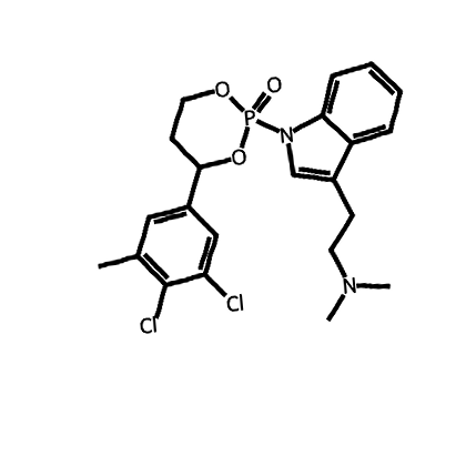 Cc1cc(C2CCOP(=O)(n3cc(CCN(C)C)c4ccccc43)O2)cc(Cl)c1Cl